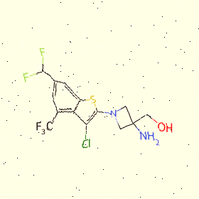 NC1(CO)CN(c2sc3cc(C(F)F)cc(C(F)(F)F)c3c2Cl)C1